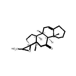 C[C@]12CCCCC1=CC[C@@H]1[C@@H]2C(=O)C[C@@]2(C)[C@H]1CC[C@@]21OC1C(=O)O